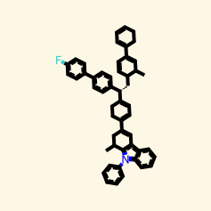 CC1CC(C2=CC=C([C@@H](CC3C=CC(C4=CC=CCC4)=CC3C)c3ccc(-c4ccc(F)cc4)cc3)CC2)=Cc2c1n(-c1ccccc1)c1ccccc21